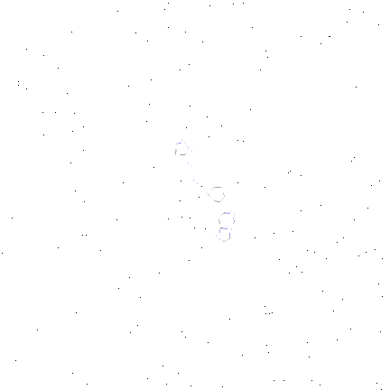 Cc1cn2cnc(-c3cccc(CN4CCN(c5cc(C)[nH]n5)CC4)c3)cc2n1